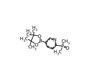 CC1(C)OB(c2ccc(P(C)(C)=O)nc2)OC1(C)C